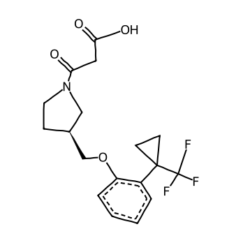 O=C(O)CC(=O)N1CC[C@H](COc2ccccc2C2(C(F)(F)F)CC2)C1